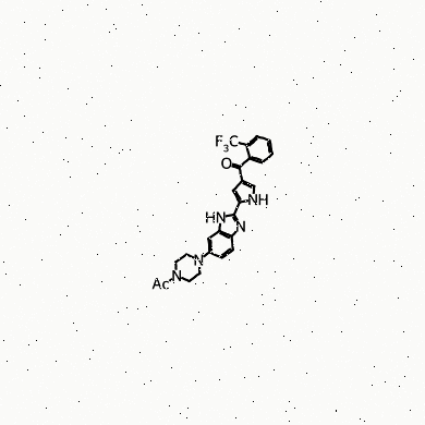 CC(=O)N1CCN(c2ccc3nc(-c4cc(C(=O)c5ccccc5C(F)(F)F)c[nH]4)[nH]c3c2)CC1